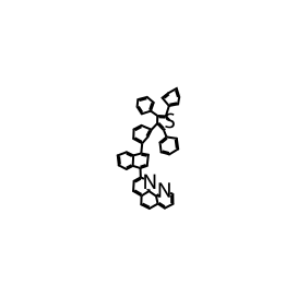 c1ccc(-c2sc(-c3ccccc3)c(-c3cccc(-c4ccc(-c5ccc6ccc7cccnc7c6n5)c5ccccc45)c3)c2-c2ccccc2)cc1